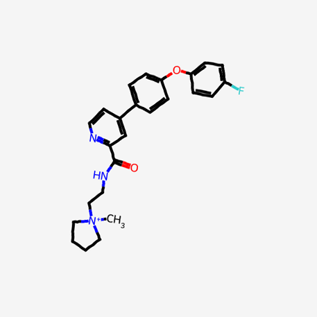 C[N+]1(CCNC(=O)c2cc(-c3ccc(Oc4ccc(F)cc4)cc3)ccn2)CCCC1